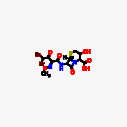 CON=C(C(=O)NC1C(=O)N2C(C(=O)O)C(O)CS[C@H]12)C(=O)C(Br)Br